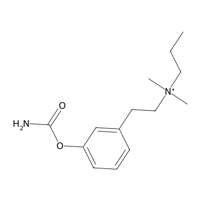 CCC[N+](C)(C)CCc1cccc(OC(N)=O)c1